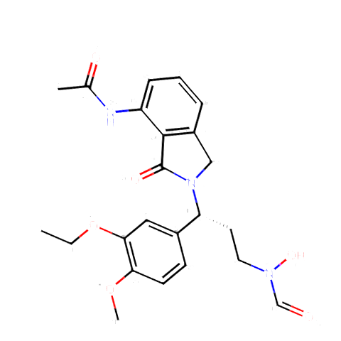 CCOc1cc([C@@H](CCN(O)C=O)N2Cc3cccc(NC(C)=O)c3C2=O)ccc1OC